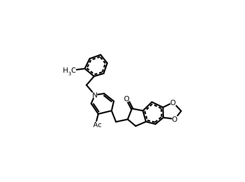 CC(=O)C1=CN(Cc2ccccc2C)C=CC1CC1Cc2cc3c(cc2C1=O)OCO3